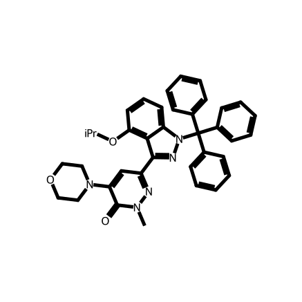 CC(C)Oc1cccc2c1c(-c1cc(N3CCOCC3)c(=O)n(C)n1)nn2C(c1ccccc1)(c1ccccc1)c1ccccc1